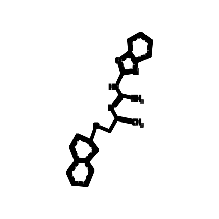 C=C(COc1ccc2ccccc2c1)/N=C(\N)Nc1nc2ccccc2o1